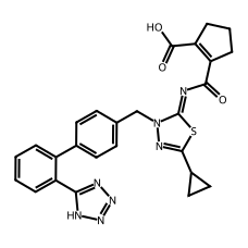 O=C(O)C1=C(C(=O)N=c2sc(C3CC3)nn2Cc2ccc(-c3ccccc3-c3nnn[nH]3)cc2)CCC1